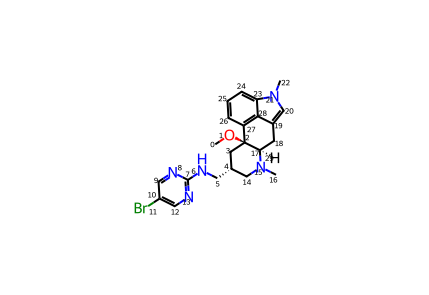 CO[C@]12C[C@@H](CNc3ncc(Br)cn3)CN(C)[C@@H]1Cc1cn(C)c3cccc2c13